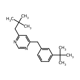 CC(C)(C)Cc1cc(Cc2cccc(C(C)(C)C)c2)ncn1